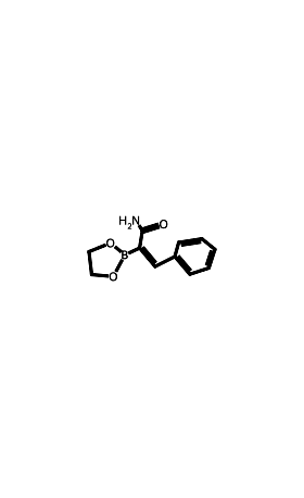 NC(=O)C(=Cc1ccccc1)B1OCCO1